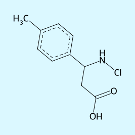 Cc1ccc(C(CC(=O)O)NCl)cc1